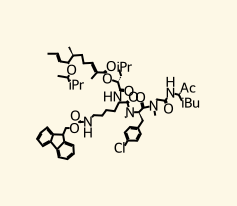 C/C=C/[C@@H](OC(C)C(C)C)[C@@H](C)CC/C=C(\C)C(=O)O[C@H](CC(C)C)C(=O)NC(CCCCNC(=O)OCC1c2ccccc2-c2ccccc21)C(=O)N(C)[C@H](Cc1ccc(Cl)cc1)C(=O)N(C)CC(=O)N[C@H](C(C)=O)C(C)CC